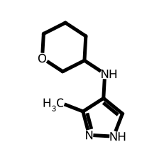 Cc1n[nH]cc1NC1CCCOC1